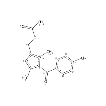 CC(=O)OCc1cc(C)c(C(=O)c2ccc(Cl)cc2)n1C